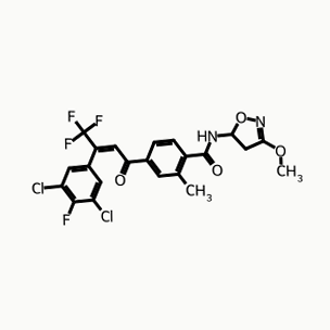 COC1=NOC(NC(=O)c2ccc(C(=O)/C=C(\c3cc(Cl)c(F)c(Cl)c3)C(F)(F)F)cc2C)C1